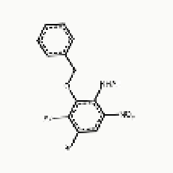 CC(=O)Nc1c([N+](=O)[O-])cc(Br)c(C(C)=O)c1OCc1ccccc1